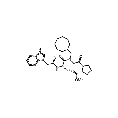 CCCC[C@@H](NC(=O)Cc1c[nH]c2ccccc12)C(=O)N(CC(=O)N1CCC[C@@H]1C(=O)OC)CC1CCCCCCC1